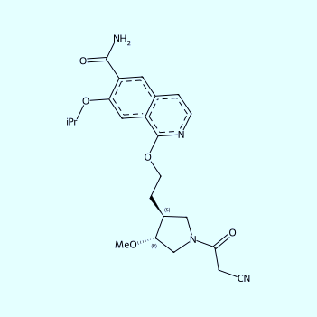 CO[C@H]1CN(C(=O)CC#N)C[C@@H]1CCOc1nccc2cc(C(N)=O)c(OC(C)C)cc12